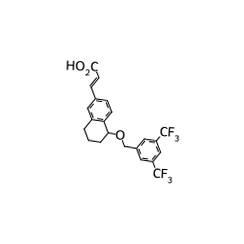 O=C(O)/C=C/c1ccc2c(c1)CCCC2OCc1cc(C(F)(F)F)cc(C(F)(F)F)c1